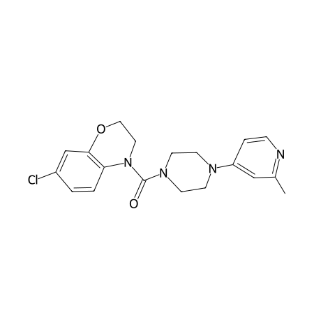 Cc1cc(N2CCN(C(=O)N3CCOc4cc(Cl)ccc43)CC2)ccn1